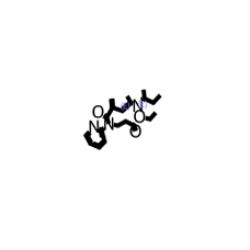 C=C(/C=C(C)/N=C(\C)CC)C(=O)N(CCC(=O)OCC)c1ccccn1